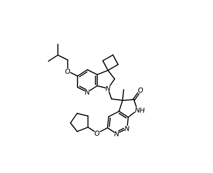 CC(C)COc1cnc2c(c1)C1(CCC1)CN2CC1(C)C(=O)Nc2nnc(OC3CCCC3)cc21